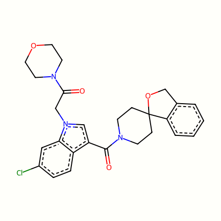 O=C(Cn1cc(C(=O)N2CCC3(CC2)OCc2ccccc23)c2ccc(Cl)cc21)N1CCOCC1